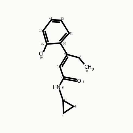 CC/C(=C\C(=O)NC1CC1)c1ccccc1Cl